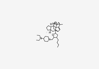 CCCCC1CC(C23C[C@@H]4[C@H](C)CC[C@H]4C4(C=O)CC2C=C(C(C)C)C34C(=O)O)OC1CN1CCC(N(CC)CC)CC1